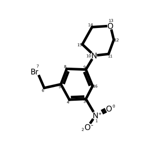 O=[N+]([O-])c1cc(CBr)cc(N2CCOCC2)c1